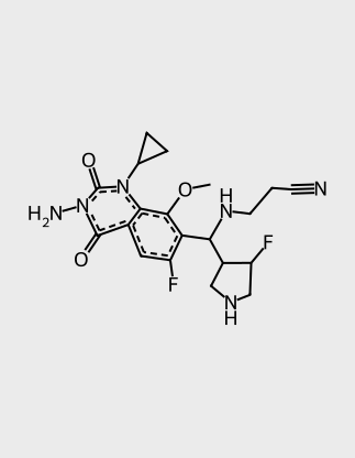 COc1c(C(NCCC#N)C2CNCC2F)c(F)cc2c(=O)n(N)c(=O)n(C3CC3)c12